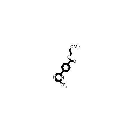 COCCOC(=O)c1ccc(-c2cncc(C(F)(F)F)n2)cc1